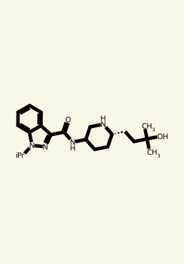 CC(C)n1nc(C(=O)NC2CC[C@@H](CCC(C)(C)O)NC2)c2ccccc21